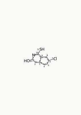 Oc1cc2ccc(Cl)cc2c(S)n1